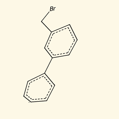 BrCc1cccc(-c2cc[c]cc2)c1